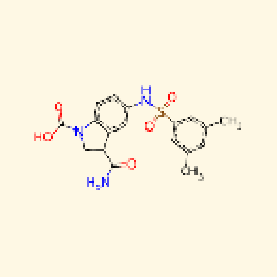 Cc1cc(C)cc(S(=O)(=O)Nc2ccc3c(c2)C(C(N)=O)CN3C(=O)O)c1